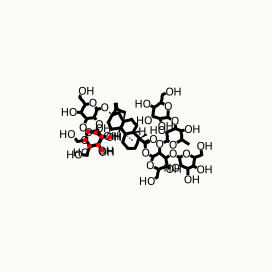 C=C1C[C@@]23CC[C@H]4[C@@](C)(CCC[C@@]4(C)C(=O)OC4OC(CO)C(O)C(OC5OC(CO)C(O)C(O)C5O)C4OC4OC(C)C(O)C(OC5OC(CO)C(O)C(O)C5O)C4O)[C@@H]2CC[C@]1(OC1OC(CO)C(O)C(OC2OC(CO)C(O)C(O)C2O)C1OC1OC(CO)C(O)C(O)C1O)C3